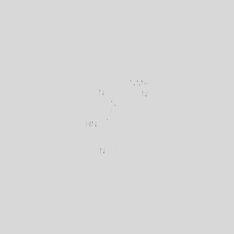 CNc1ncccc1CNc1ncccc1C(=O)Nc1ccnc(Cl)c1